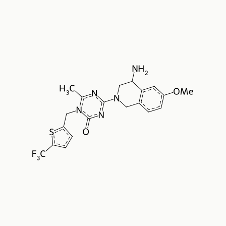 COc1ccc2c(c1)C(N)CN(c1nc(C)n(Cc3ccc(C(F)(F)F)s3)c(=O)n1)C2